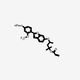 C=CC(=O)OC(C)(C)CC(C)Oc1ccc2cc(-c3ccc(CCCCC)cc3OC(F)(F)F)oc2c1